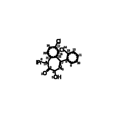 CC(C)N1C(=O)C(O)N=C(c2ccccc2Cl)c2cc(Cl)ccc21